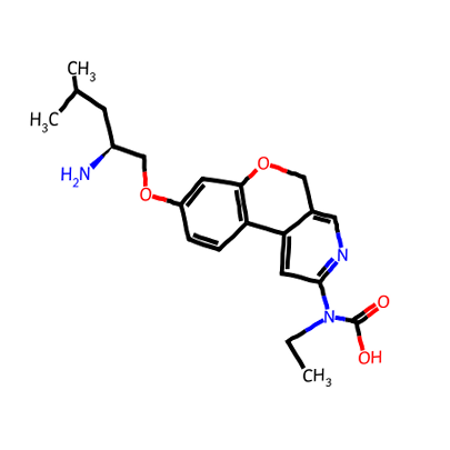 CCN(C(=O)O)c1cc2c(cn1)COc1cc(OC[C@@H](N)CC(C)C)ccc1-2